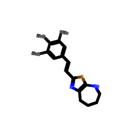 COc1cc(/C=C/c2nc3c(s2)NCCCC3)cc(OC)c1OC